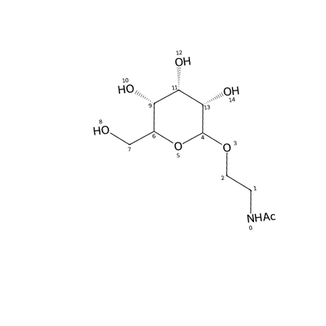 CC(=O)NCCOC1OC(CO)[C@H](O)[C@H](O)[C@@H]1O